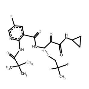 CC(F)(F)CC[C@H](NC(=O)c1cc(F)cnc1NC(=O)C(C)(C)C)C(=O)C(=O)NC1CC1